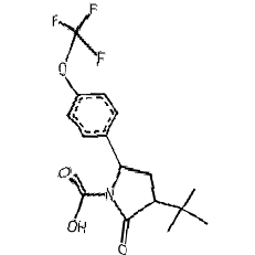 CC(C)(C)C1CC(c2ccc(OC(F)(F)F)cc2)N(C(=O)O)C1=O